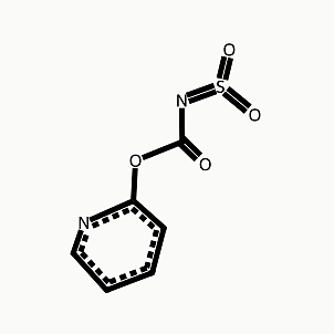 O=C(N=S(=O)=O)Oc1ccccn1